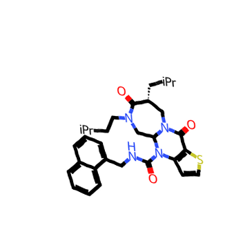 CC(C)CCN1CC2N(C[C@@H](CC(C)C)C1=O)C(=O)c1sccc1N2C(=O)NCc1cccc2ccccc12